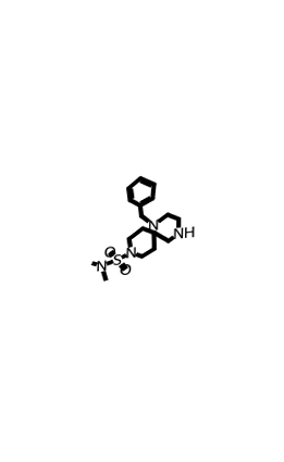 CN(C)S(=O)(=O)N1CCC2(CC1)CNCCN2Cc1ccccc1